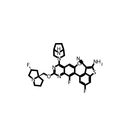 N#Cc1c(N)sc2cc(F)cc(-c3c(Cl)cc4c(N5CC6CCC(C5)N6)nc(OC[C@@]56CCCN5C[C@H](F)C6)nc4c3F)c12